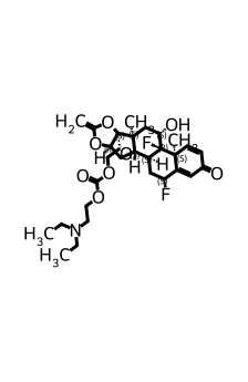 C=C1O[C@@H]2C[C@H]3[C@@H]4C[C@H](F)C5=CC(=O)C=C[C@]5(C)[C@@]4(F)[C@@H](O)C[C@]3(C)[C@]2(C(=O)COC(=O)OCCN(CC)CC)O1